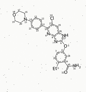 CCc1ccc(Oc2nc3nc(-c4ccc(N5CCOCC5)cc4)c(Cl)cc3[nH]2)cc1C(N)=O